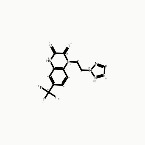 O=c1[nH]c2cc(C(F)(F)F)ccc2n(CCn2ncnn2)c1=O